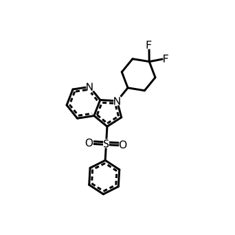 O=S(=O)(c1ccccc1)c1cn(C2CCC(F)(F)CC2)c2ncccc12